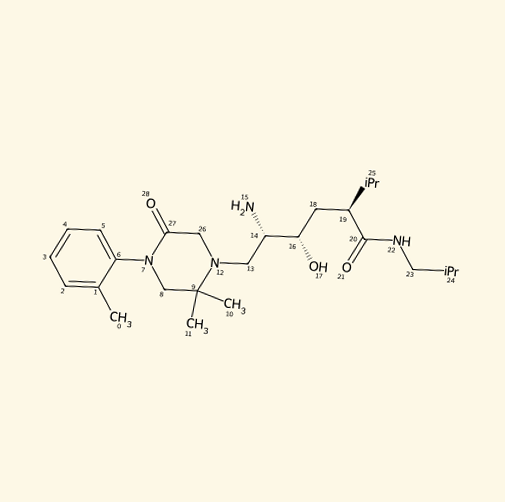 Cc1ccccc1N1CC(C)(C)N(C[C@H](N)[C@@H](O)C[C@H](C(=O)NCC(C)C)C(C)C)CC1=O